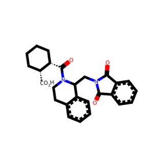 O=C(O)[C@@H]1CCCC[C@@H]1C(=O)N1CCc2ccccc2C1CN1C(=O)c2ccccc2C1=O